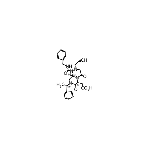 C#CCN1CC(=O)N2[C@@H](CC(=O)O)C(=O)N([C@H](C)c3ccccc3)C[C@@H]2N1C(=O)NCc1ccccc1